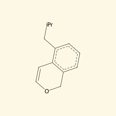 CC(C)Cc1cccc2c1C=COC2